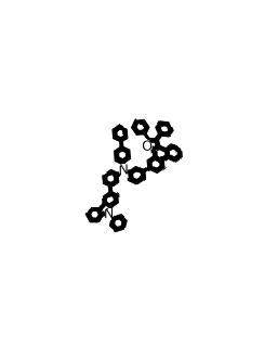 c1ccc(-c2ccc(N(c3cccc(-c4ccc5c6ccccc6c6c(-c7ccccc7)c(-c7ccccc7)oc6c5c4)c3)c3cccc(-c4ccc5c(c4)c4ccccc4n5-c4ccccc4)c3)cc2)cc1